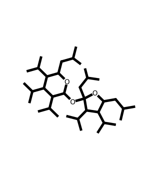 CC(C)CC1OC(OC2(CC(C)C)OC(CC(C)C)C(C(C)C)C2C(C)C)C(C(C)C)C(C(C)C)C1C(C)C